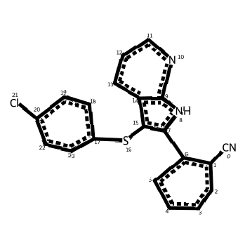 N#Cc1ccccc1-c1[nH]c2ncccc2c1Sc1ccc(Cl)cc1